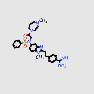 CN1C=CCN(C(=O)CN(c2ccc3c(c2)nc(CCc2ccc(C(=N)N)cc2)n3C)S(=O)(=O)c2ccccc2)C=C1